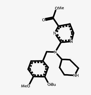 COC(=O)c1ccnc(N(Cc2ccc(OC)c(OCC(C)C)c2)C2CCNCC2)n1